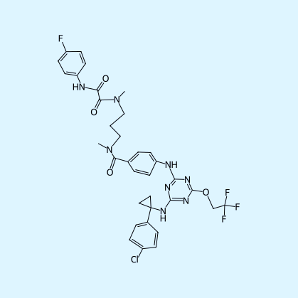 CN(CCCN(C)C(=O)c1ccc(Nc2nc(NC3(c4ccc(Cl)cc4)CC3)nc(OCC(F)(F)F)n2)cc1)C(=O)C(=O)Nc1ccc(F)cc1